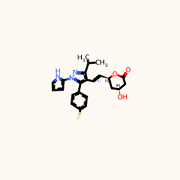 CC(C)c1nn(-c2ccc[nH]2)c(-c2ccc(F)cc2)c1/C=C/[C@@H]1C[C@@H](O)CC(=O)O1